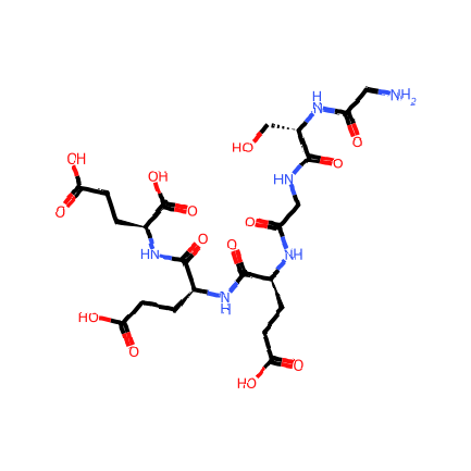 NCC(=O)N[C@@H](CO)C(=O)NCC(=O)N[C@@H](CCC(=O)O)C(=O)N[C@@H](CCC(=O)O)C(=O)N[C@@H](CCC(=O)O)C(=O)O